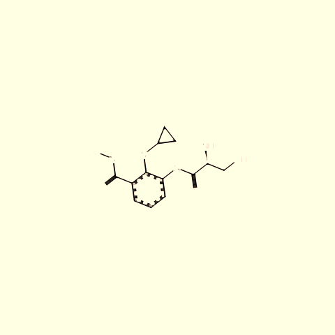 CC[C@H](N)C(=O)Nc1cccc(C(=O)NC)c1NC1CC1